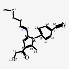 CSCC/C=C/c1cc(C(=O)CBr)c(C)n1-c1ccc(C#N)cc1